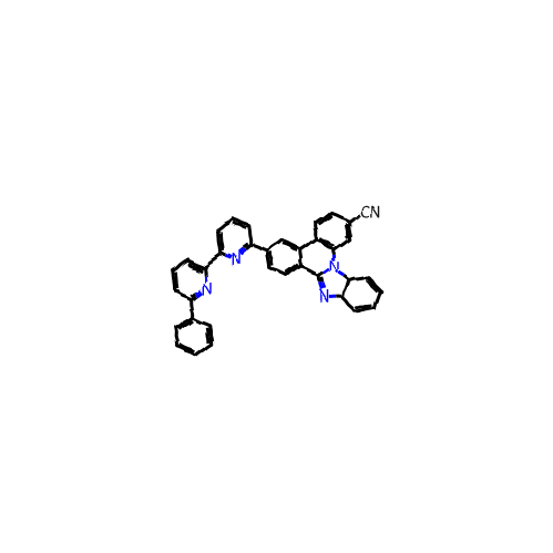 N#Cc1ccc2c(c1)N1C(=NC3C=CC=CC31)c1ccc(-c3cccc(-c4cccc(-c5ccccc5)n4)n3)cc1-2